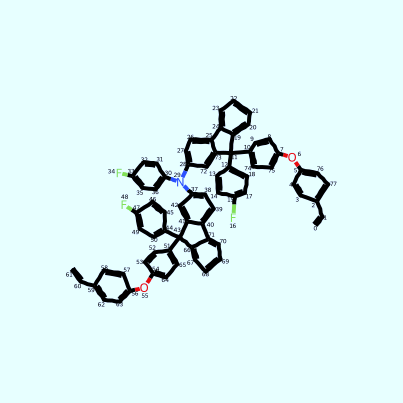 C=Cc1ccc(Oc2ccc(C3(c4ccc(F)cc4)c4ccccc4-c4ccc(N(c5ccc(F)cc5)c5ccc6c(c5)C(c5ccc(F)cc5)(c5ccc(Oc7ccc(C=C)cc7)cc5)c5ccccc5-6)cc43)cc2)cc1